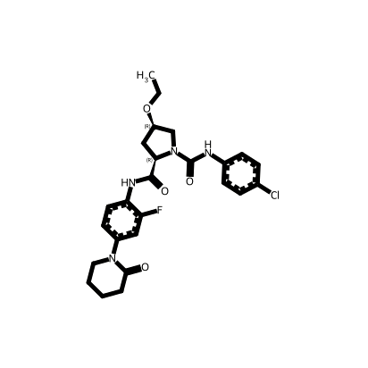 CCO[C@@H]1C[C@H](C(=O)Nc2ccc(N3CCCCC3=O)cc2F)N(C(=O)Nc2ccc(Cl)cc2)C1